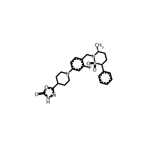 C[C@H]1CCC(c2ccccc2)S(=O)(=O)N1Cc1ccc(N2CCC(c3n[nH]c(=O)o3)CC2)cc1F